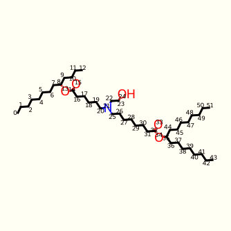 CCCCCCCCC(CCCC)OC(=O)CCCCCN(CCO)CCCCCCCC(=O)OC(CCCCCCCC)CCCCCCCC